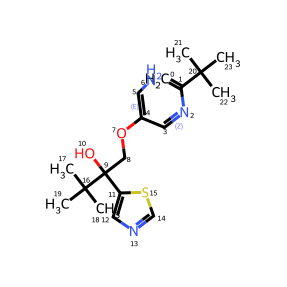 C=C(/N=C\C(=C/N)OCC(O)(c1cncs1)C(C)(C)C)C(C)(C)C